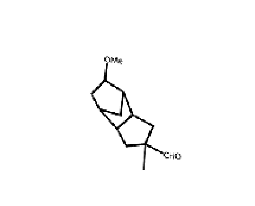 COC1CC2CC1C1CC(C)(C=O)CC21